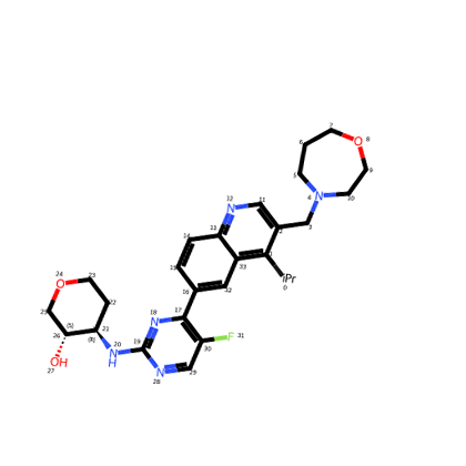 CC(C)c1c(CN2CCCOCC2)cnc2ccc(-c3nc(N[C@@H]4CCOC[C@H]4O)ncc3F)cc12